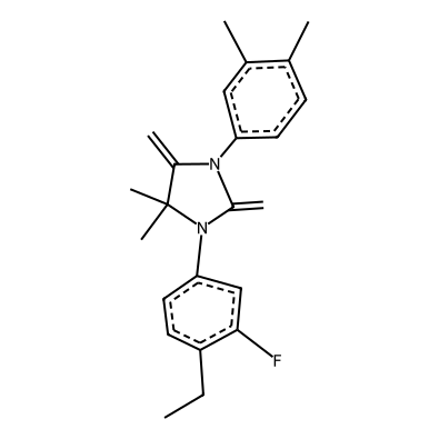 C=C1N(c2ccc(C)c(C)c2)C(=C)C(C)(C)N1c1ccc(CC)c(F)c1